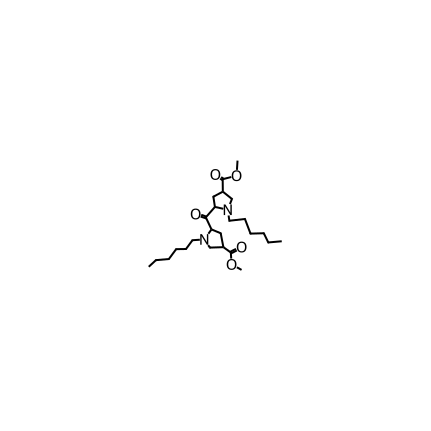 CCCCCCN1CC(C(=O)OC)CC1C(=O)C1CC(C(=O)OC)CN1CCCCCC